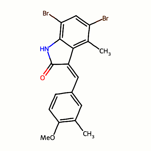 COc1ccc(C=C2C(=O)Nc3c(Br)cc(Br)c(C)c32)cc1C